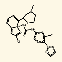 CN1CCOC(C2=CC=NC3=CC(Cl)=N[N+]32NC(=O)Nc2cnc(-n3nccn3)c(Cl)c2)C1